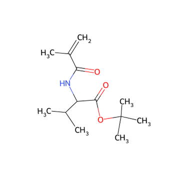 C=C(C)C(=O)NC(C(=O)OC(C)(C)C)C(C)C